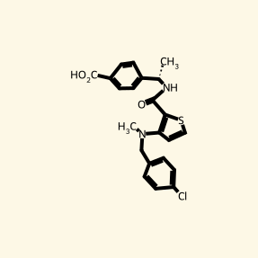 C[C@H](NC(=O)c1sccc1N(C)Cc1ccc(Cl)cc1)c1ccc(C(=O)O)cc1